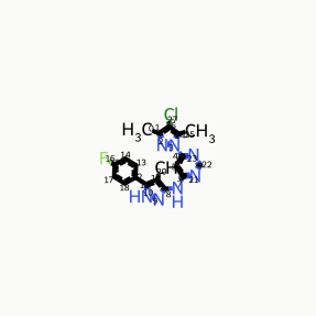 Cc1nn(-c2cc(Nc3n[nH]c(-c4ccc(F)cc4)c3C)ncn2)c(C)c1Cl